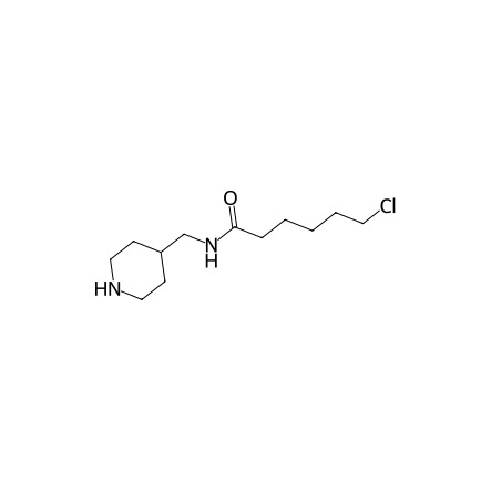 O=C(CCCCCCl)NCC1CCNCC1